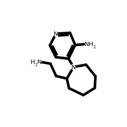 NCCC1CCCCCN1c1ccncc1N